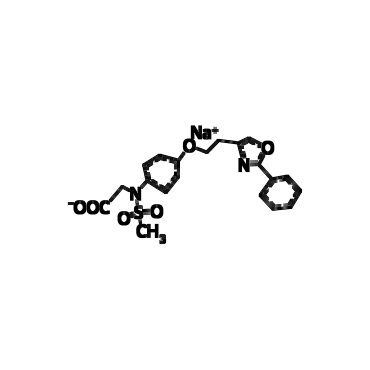 CS(=O)(=O)N(CC(=O)[O-])c1ccc(OCCc2coc(-c3ccccc3)n2)cc1.[Na+]